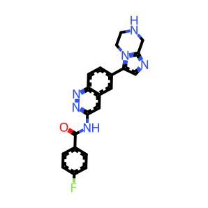 O=C(Nc1cc2cc(-c3cnc4n3CCNC4)ccc2nn1)c1ccc(F)cc1